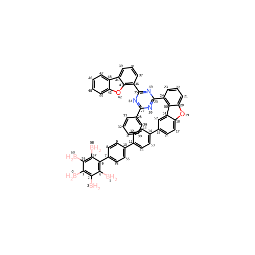 Bc1c(B)c(B)c(-c2ccc(-c3ccc(-c4ccc5oc6cccc(-c7nc(-c8ccccc8)nc(-c8cccc9c8oc8ccccc89)n7)c6c5c4)cc3)cc2)c(B)c1B